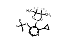 CC1(C)OB(c2c(OC(F)(F)F)ccnc2C2CC2)OC1(C)C